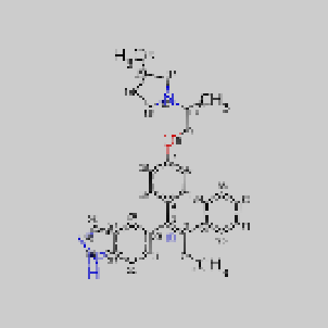 CC/C(=C(/c1ccc(OCC(C)N2CCC(C)C2)cc1)c1ccc2[nH]ncc2c1)c1ccccc1